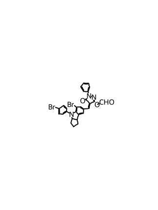 O=COC1=NN(c2ccccc2)C(=O)/C1=C\c1cc(Br)c2c(c1)C1CCCC1N2c1ccc(Br)cc1